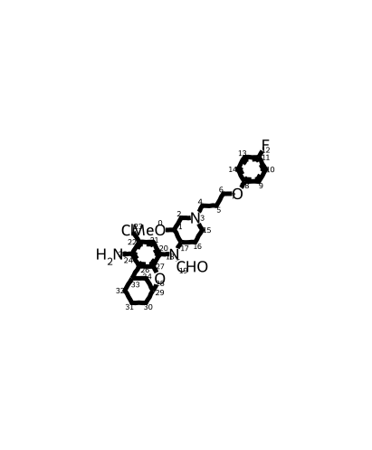 COC1CN(CCCOc2ccc(F)cc2)CCC1N(C=O)c1cc(Cl)c(N)c2c1OC1CCCC2C1